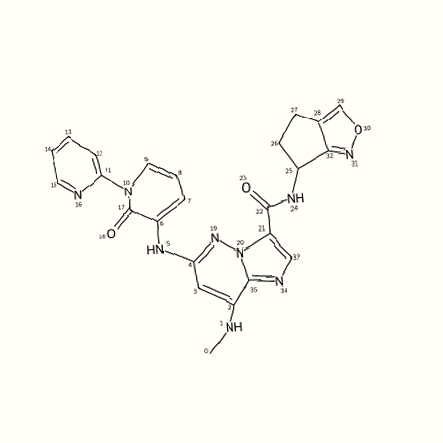 CNc1cc(Nc2cccn(-c3ccccn3)c2=O)nn2c(C(=O)NC3CCc4conc43)cnc12